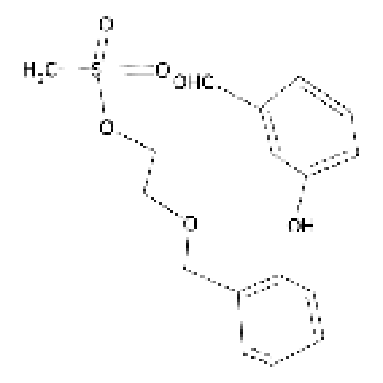 CS(=O)(=O)OCCOCc1ccccc1.O=Cc1cccc(O)c1